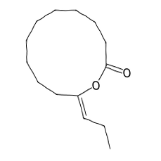 CC/C=C1/CCCCCCCCCC(=O)O1